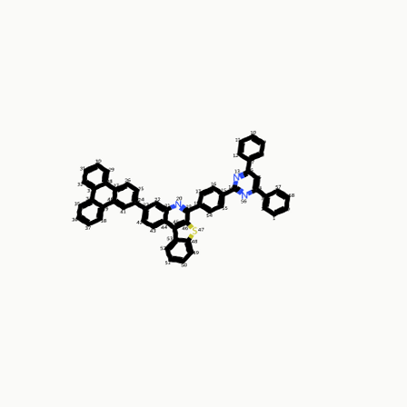 c1ccc(-c2cc(-c3ccccc3)nc(-c3ccc(-c4nc5cc(-c6ccc7c8ccccc8c8ccccc8c7c6)ccc5c5c4sc4ccccc45)cc3)n2)cc1